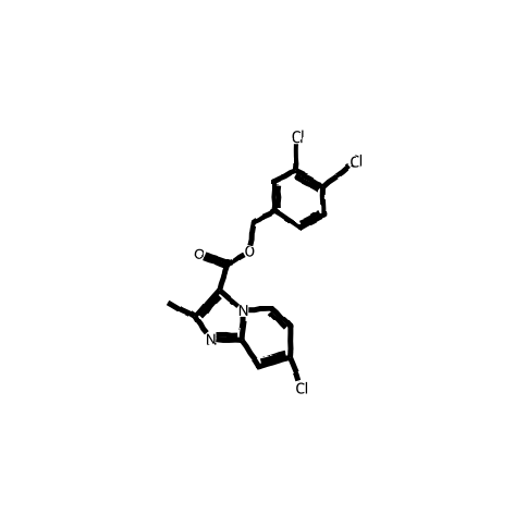 Cc1nc2cc(Cl)ccn2c1C(=O)OCc1ccc(Cl)c(Cl)c1